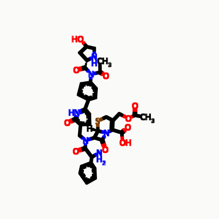 CC(=O)OCC1=C(C(=O)O)N2C(=O)C(N(Cc3ccc(-c4ccc(N(C(C)=O)C(=O)[C@@H]5CC(O)CN5)cc4)[nH]c3=O)C(=O)C(N)c3ccccc3)[C@@H]2SC1